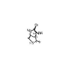 O=C1NC2CSC(I)C2N1